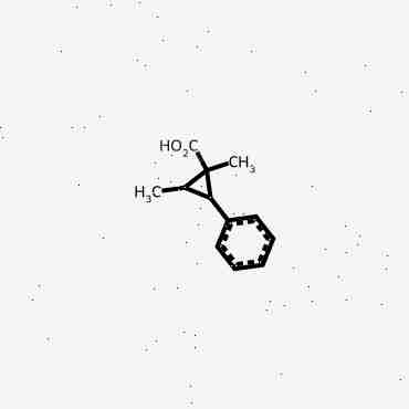 CC1C(c2ccccc2)C1(C)C(=O)O